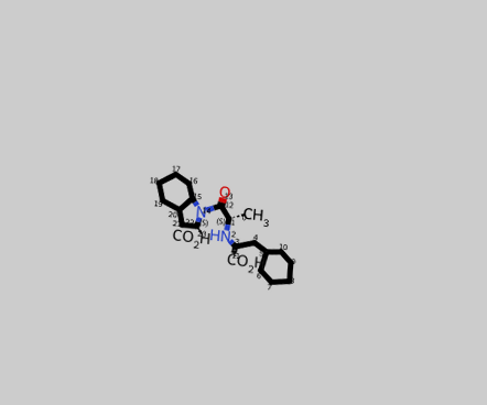 C[C@H](NC(CC1CCCCC1)C(=O)O)C(=O)N1C2CCCCC2C[C@H]1C(=O)O